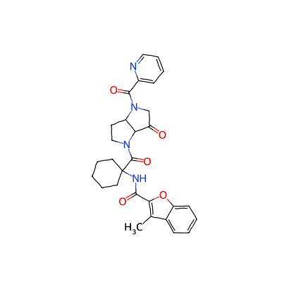 Cc1c(C(=O)NC2(C(=O)N3CCC4C3C(=O)CN4C(=O)c3ccccn3)CCCCC2)oc2ccccc12